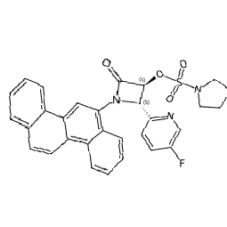 O=C1[C@@H](OS(=O)(=O)N2CCCC2)[C@H](c2ccc(F)cn2)N1c1cc2c3ccccc3ccc2c2ccccc12